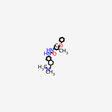 Cc1cc(NC(=O)Nc2ccc3c(c2)CCC(CN(C)C)C3)ccc1Oc1ccccc1